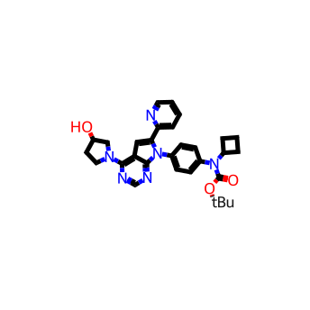 CC(C)(C)OC(=O)N(c1ccc(-n2c(-c3ccccn3)cc3c(N4CCC(O)C4)ncnc32)cc1)C1CCC1